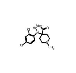 COC(=O)C1(N(C(C)=O)c2ccc(Cl)cc2Cl)CCN(C)CC1